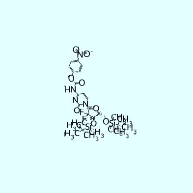 CC(C)(C)[Si](C)(C)OC[C@H]1O[C@@H](n2ccc(NC(=O)Oc3ccc([N+](=O)[O-])cc3)nc2=O)C(F)(F)[C@@H]1O[Si](C)(C)C(C)(C)C